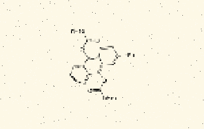 CCCCCCC(=O)Oc1c2ccccc2c(OC(=O)CCCCCC)c2cc(C(C)(C)C)ccc12